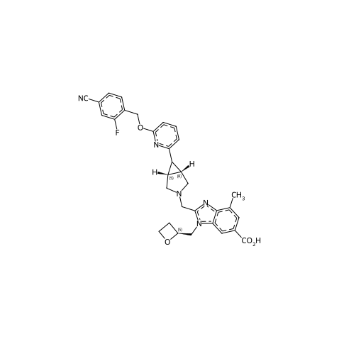 Cc1cc(C(=O)O)cc2c1nc(CN1C[C@@H]3C(c4cccc(OCc5ccc(C#N)cc5F)n4)[C@@H]3C1)n2C[C@@H]1CCO1